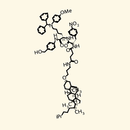 COc1ccc(N(CCCC[C@H](NC(=O)[C@H](Cc2ccc([N+](=O)[O-])cc2)NC(=O)CCC(=O)NCCCO[C@H]2CC[C@@]3(C)C(=CC[C@H]4[C@@H]5CC[C@H]([C@H](C)CCCC(C)C)[C@@]5(C)CC[C@@H]43)C2)C(=O)Nc2ccc(CO)cc2)C(c2ccccc2)c2ccccc2)cc1